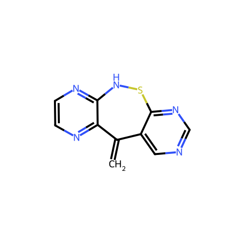 C=C1c2cncnc2SNc2nccnc21